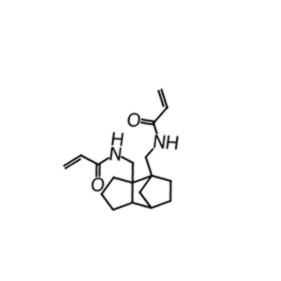 C=CC(=O)NCC12CCC(C1)C1CCCC12CNC(=O)C=C